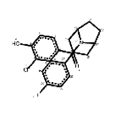 O=C(c1ccc(O)c(Cl)c1)N1C2CCC1CC(c1ccc(F)cc1)C2